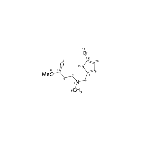 COC(=O)CCN(C)Cc1ccc(Br)s1